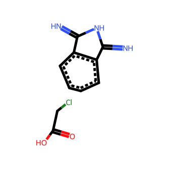 N=C1NC(=N)c2ccccc21.O=C(O)CCl